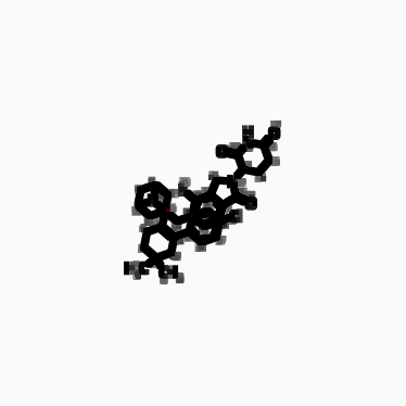 CC1(C)CCC(CN2C3CC2CN(Cc2ccc4c(c2F)CN(C2CCC(=O)NC2=O)C4=O)C3)=C(c2ccc(Cl)cc2)C1